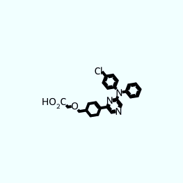 O=C(O)COCC1CC=C(c2cncc(N(c3ccccc3)c3ccc(Cl)cc3)n2)CC1